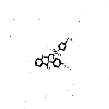 COc1ccc(-n2c(CNS(=O)(=O)c3ccc(C)cc3)nc3ccccc3c2=O)cc1